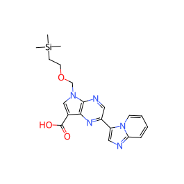 C[Si](C)(C)CCOCn1cc(C(=O)O)c2nc(-c3cnc4ccccn34)cnc21